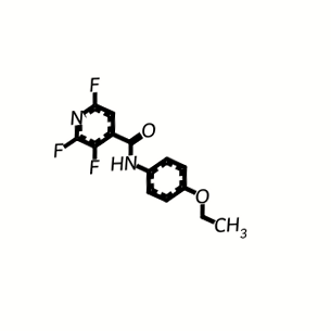 CCOc1ccc(NC(=O)c2cc(F)nc(F)c2F)cc1